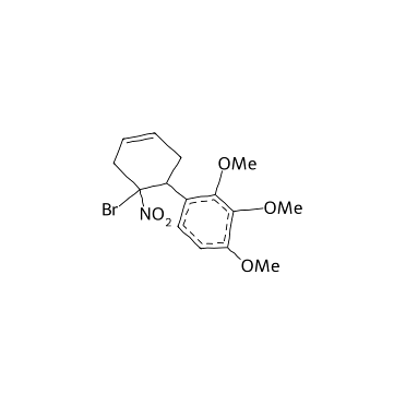 COc1ccc(C2CC=CCC2(Br)[N+](=O)[O-])c(OC)c1OC